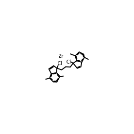 Cc1ccc(C)c2c1C=CC2(Cl)CCCC1(Cl)C=Cc2c(C)ccc(C)c21.[Zr]